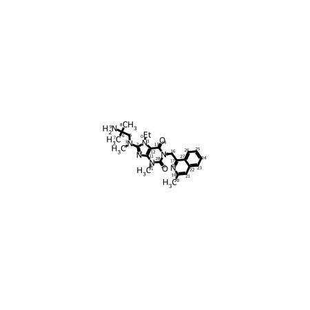 CCn1c(N(C)CC(C)(C)N)nc2c1c(=O)n(Cc1nc(C)cc3ccccc13)c(=O)n2C